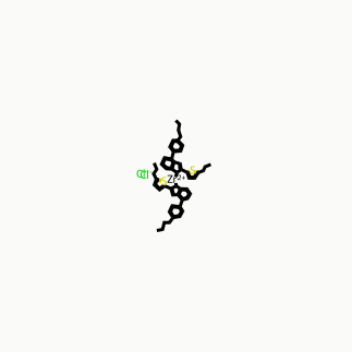 CCCCc1ccc(-c2cccc3c2C=C(c2ccc(CCC)s2)[CH]3[Zr+2][CH]2C(c3ccc(CCC)s3)=Cc3c(-c4ccc(CCCC)cc4)cccc32)cc1.[Cl-].[Cl-]